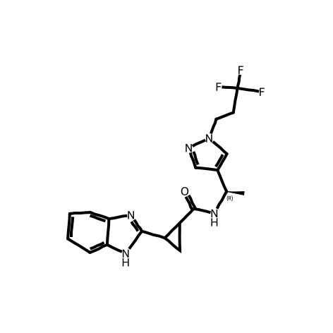 C[C@@H](NC(=O)C1CC1c1nc2ccccc2[nH]1)c1cnn(CCC(F)(F)F)c1